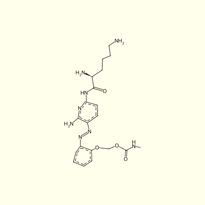 CNC(=O)OCOc1ccccc1/N=N/c1ccc(NC(=O)[C@@H](N)CCCCN)nc1N